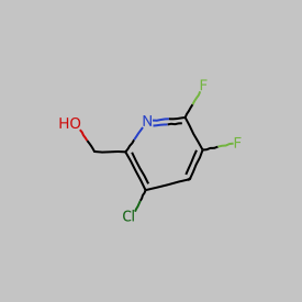 OCc1nc(F)c(F)cc1Cl